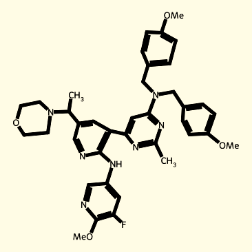 COc1ccc(CN(Cc2ccc(OC)cc2)c2cc(-c3cc(C(C)N4CCOCC4)cnc3Nc3cnc(OC)c(F)c3)nc(C)n2)cc1